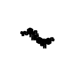 COc1ccc(NS(=O)(=O)c2ccc(NC(=S)NC(=O)c3cccc(OCC(C)C)c3)cc2)cc1